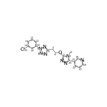 Cn1c(OCCc2nnn(-c3cccc(Cl)c3)n2)nnc1-c1cccnc1